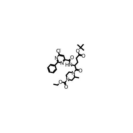 CCOC(=O)N1CCN(C(=O)C(CCC(=O)OC(C)(C)C)NC(=O)c2cc(Cl)nc(-c3ccccc3)n2)C(C)C1